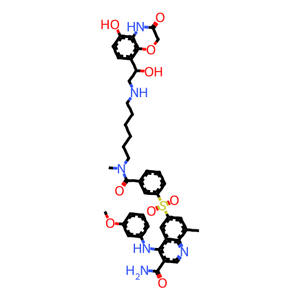 COc1cccc(Nc2c(C(N)=O)cnc3c(C)cc(S(=O)(=O)c4cccc(C(=O)N(C)CCCCCCNCC(O)c5ccc(O)c6c5OCC(=O)N6)c4)cc23)c1